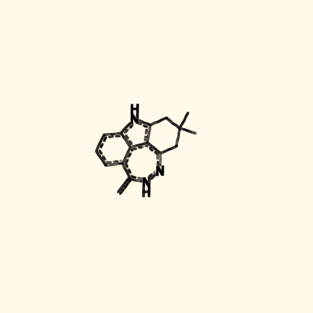 C=c1[nH]nc2c3c([nH]c4cccc1c43)CC(C)(C)C2